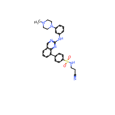 CN1CCN(c2cccc(Nc3ncc4cccc(-c5ccc(S(=O)(=O)NCCC#N)cc5)c4n3)c2)CC1